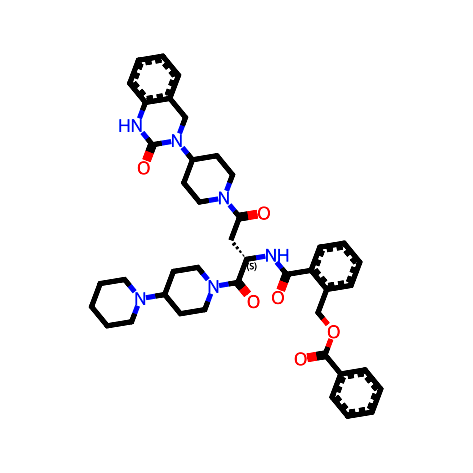 O=C(OCc1ccccc1C(=O)N[C@@H](CC(=O)N1CCC(N2Cc3ccccc3NC2=O)CC1)C(=O)N1CCC(N2CCCCC2)CC1)c1ccccc1